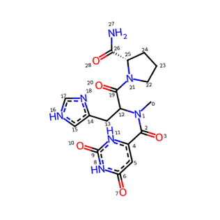 CN(C(=O)c1cc(=O)[nH]c(=O)[nH]1)C(Cc1c[nH]cn1)C(=O)N1CCC[C@H]1C(N)=O